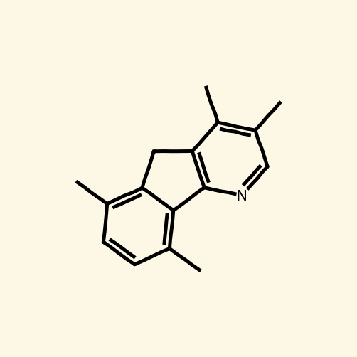 Cc1cnc2c(c1C)Cc1c(C)ccc(C)c1-2